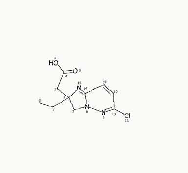 CCC1(CC(=O)O)CN2N=C(Cl)C=CC2=N1